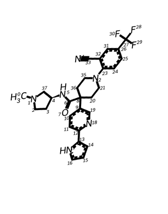 CN1CC[C@H](NC(=O)C2(c3ccc(-c4ccc[nH]4)nc3)CCN(c3ccc(C(F)(F)F)cc3C#N)CC2)C1